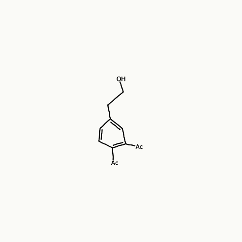 CC(=O)c1ccc(CCO)cc1C(C)=O